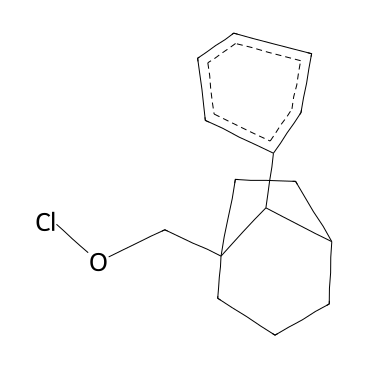 ClOCC12CCCC(CC1)C2c1ccccc1